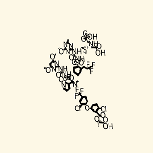 COc1cc(OC)nc(NC(=O)NS(=O)(=O)c2ncccc2C(=O)N(C)C)n1.COc1nc(C)nc(NC(=O)NS(=O)(=O)c2ccccc2CCC(F)(F)F)n1.C[C@H](OC(=O)c1cc(Oc2ccc(C(F)(F)F)cc2Cl)ccc1Cl)C(=O)O.C[S+](C)C.O=C(O)CNCP(=O)([O-])O